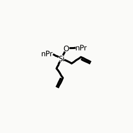 C=CC[Si](CC=C)(CCC)OCCC